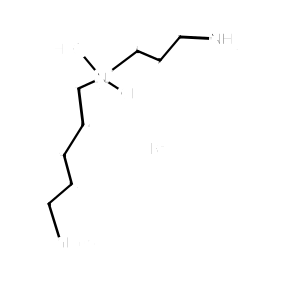 CCCCCCCCCCCC[N+](C)(C)CCCN.[Br-]